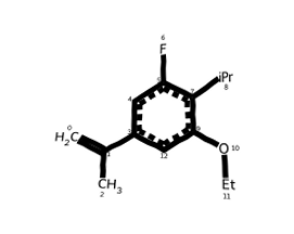 C=C(C)c1cc(F)c(C(C)C)c(OCC)c1